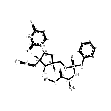 C=C=C[C@@]1(F)[C@H](O)[C@@](F)(COP(=O)(N[C@@H](C)C(=O)OC(C)C)Oc2ccccc2)C[C@H]1n1ccc(=O)[nH]c1=O